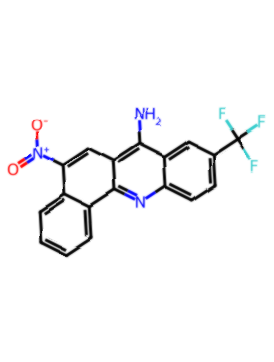 Nc1c2cc(C(F)(F)F)ccc2nc2c1cc([N+](=O)[O-])c1ccccc12